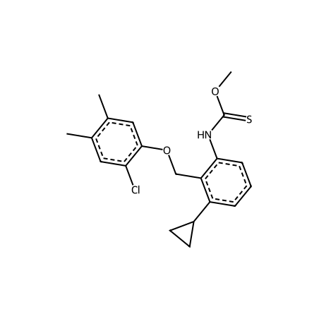 COC(=S)Nc1cccc(C2CC2)c1COc1cc(C)c(C)cc1Cl